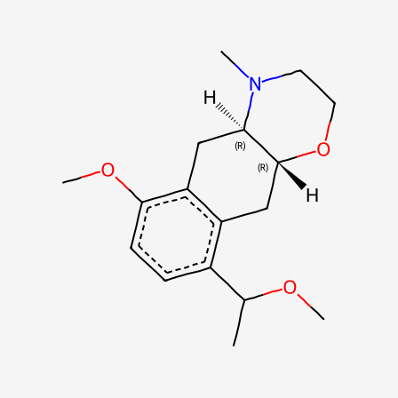 COc1ccc(C(C)OC)c2c1C[C@@H]1[C@@H](C2)OCCN1C